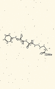 COC(=O)[C@@H](C)CCCCNC(=O)CNC(=O)OCc1ccccc1